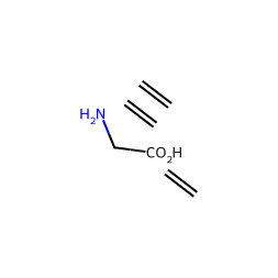 C=C.C=C.C=C.NCC(=O)O